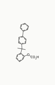 CC(C)(c1ccc(-c2ccccc2)cc1)c1ccccc1OC(=O)O